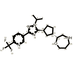 CC(C)n1nc(-c2ccc(C(F)(F)F)nc2)nc1[C@H]1CC[C@H](C2CNCCCO2)C1